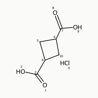 Cl.O=C(O)C1CC(C(=O)O)C1